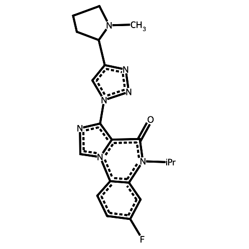 CC(C)n1c(=O)c2c(-n3cc(C4CCCN4C)nn3)ncn2c2ccc(F)cc21